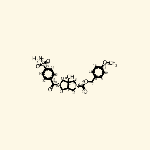 CC12CN(C(=O)OCc3ccc(OC(F)(F)F)cc3)CC1CN(C(=O)c1ccc(S(N)(=O)=O)cc1)C2